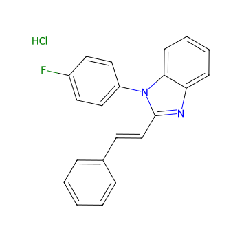 Cl.Fc1ccc(-n2c(C=Cc3ccccc3)nc3ccccc32)cc1